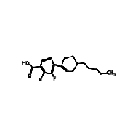 CCCCCC1CC=C(c2ccc(C(=O)O)c(F)c2F)CC1